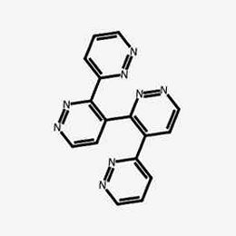 c1cnnc(-c2ccnnc2-c2ccnnc2-c2cccnn2)c1